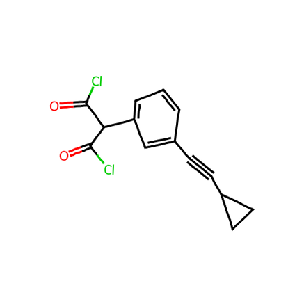 O=C(Cl)C(C(=O)Cl)c1cccc(C#CC2CC2)c1